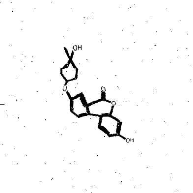 CC1(O)CCC(Oc2ccc3c(c2)c(=O)oc2cc(O)ccc23)CC1